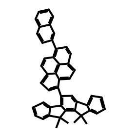 CC1(C)c2ccccc2-c2cc(-c3ccc4ccc5c(-c6ccc7ccccc7c6)ccc6ccc3c4c65)c3c(c21)C(C)(C)c1ccccc1-3